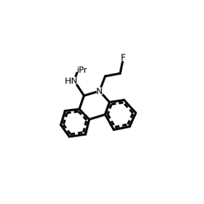 CC(C)NC1c2ccccc2-c2ccccc2N1CCF